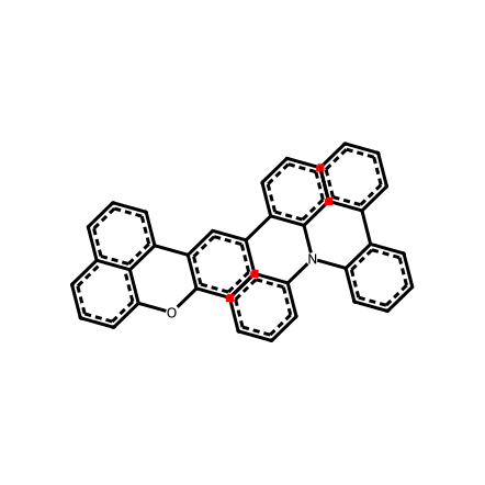 c1ccc(-c2ccccc2N(c2ccccc2)c2ccccc2-c2ccc3c(c2)-c2cccc4cccc(c24)O3)cc1